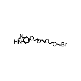 BrCCOCCOCCOCCOc1ccc2[nH]cnc2c1